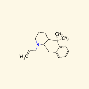 C=CCN1CCCC2C1Cc1ccccc1C2(C)C